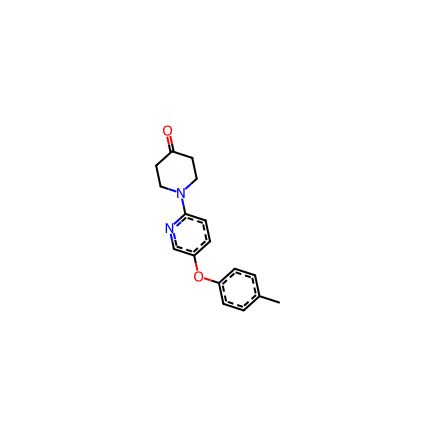 Cc1ccc(Oc2ccc(N3CCC(=O)CC3)nc2)cc1